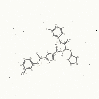 Cc1cc(NC(=O)C(CC2CCCC2)NC(=O)c2cnc(C(C)Nc3cccc(Cl)c3)s2)ccn1